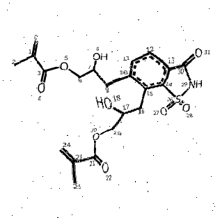 C=C(C)C(=O)OCC(O)Cc1ccc2c(c1CC(O)COC(=O)C(=C)C)S(=O)(=O)NC2=O